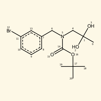 CC(O)(O)CN(Cc1cccc(Br)c1)C(=O)OC(C)(C)C